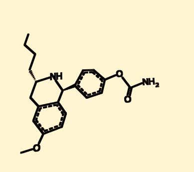 CCCC[C@H]1Cc2cc(OC)ccc2[C@H](c2ccc(OC(N)=O)cc2)N1